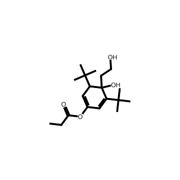 CCC(=O)OC1=CC(C(C)(C)C)C(O)(CCO)C(C(C)(C)C)=C1